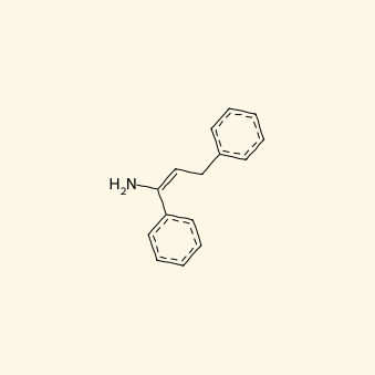 N/C(=C/Cc1ccccc1)c1ccccc1